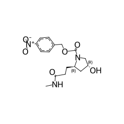 CNC(=O)CC[C@@H]1C[C@@H](O)CN1C(=O)OCc1ccc([N+](=O)[O-])cc1